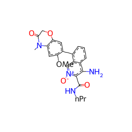 CCCNC(=O)c1c(N)c2cccc(-c3cc4c(cc3OC)N(C)C(=O)CO4)c2c[n+]1[O-]